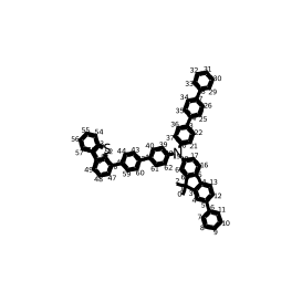 CC1(C)c2cc(-c3ccccc3)ccc2-c2ccc(N(c3ccc(-c4ccc(-c5ccccc5)cc4)cc3)c3ccc(-c4ccc(-c5cccc6c5sc5ccccc56)cc4)cc3)cc21